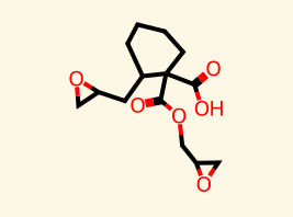 O=C(O)C1(C(=O)OCC2CO2)CCCCC1CC1CO1